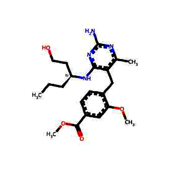 CCC[C@@H](CCO)Nc1nc(N)nc(C)c1Cc1ccc(C(=O)OC)cc1OC